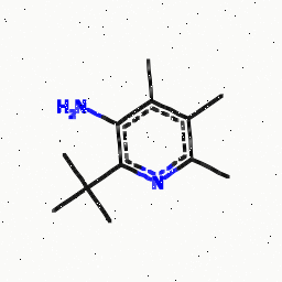 Cc1nc(C(C)(C)C)c(N)c(C)c1C